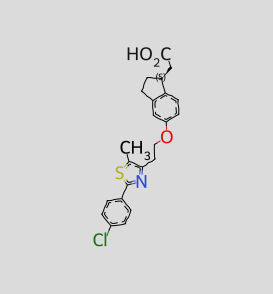 Cc1sc(-c2ccc(Cl)cc2)nc1CCOc1ccc2c(c1)CC[C@H]2CC(=O)O